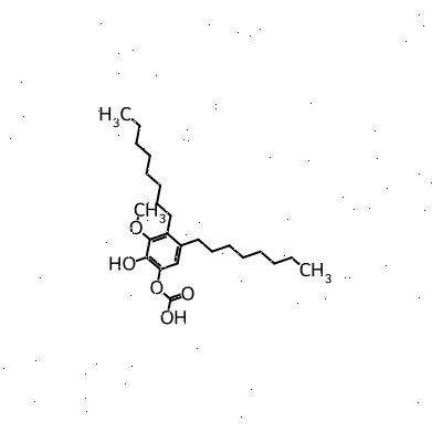 CCCCCCCCc1cc(OC(=O)O)c(O)c(OC)c1CCCCCCCC